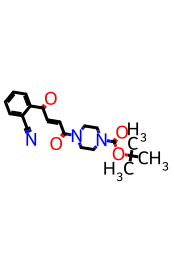 CC(C)(C)OC(=O)N1CCN(C(=O)/C=C/C(=O)c2ccccc2C#N)CC1